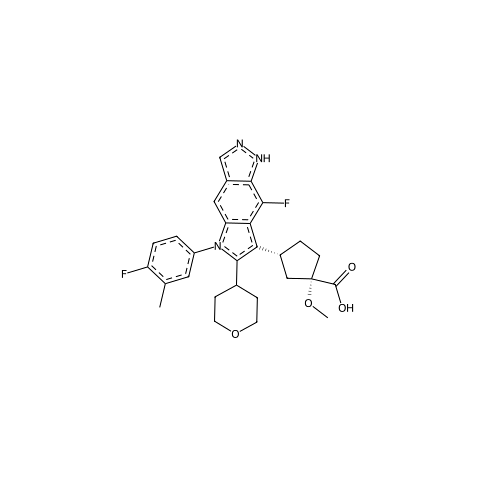 CO[C@@]1(C(=O)O)CC[C@@H](c2c(C3CCOCC3)n(-c3ccc(F)c(C)c3)c3cc4cn[nH]c4c(F)c23)C1